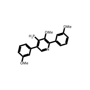 COc1cccc(-c2cnc(-c3cccc(OC)c3)c(OC)c2P)c1